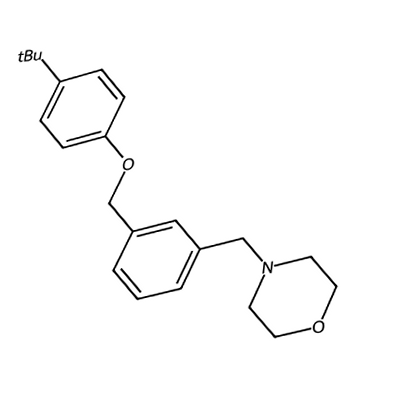 CC(C)(C)c1ccc(OCc2cccc(CN3CCOCC3)c2)cc1